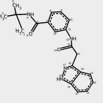 CC(C)(C)NC(=O)c1cccc(NC(=O)Cc2n[nH]c3ccccc23)c1